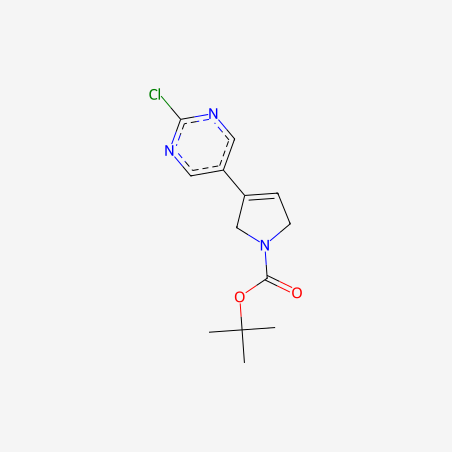 CC(C)(C)OC(=O)N1CC=C(c2cnc(Cl)nc2)C1